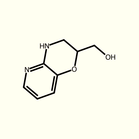 OCC1CNc2ncccc2O1